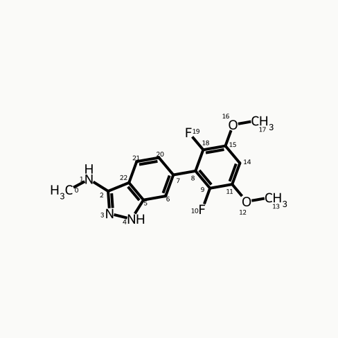 CNc1n[nH]c2cc(-c3c(F)c(OC)cc(OC)c3F)ccc12